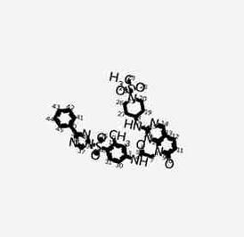 Cc1cc(NC(=O)Cn2c(=O)ccc3cnc(NC4CCN(S(C)(=O)=O)CC4)nc32)ccc1S(=O)(=O)n1cnc(-c2ccccc2)n1